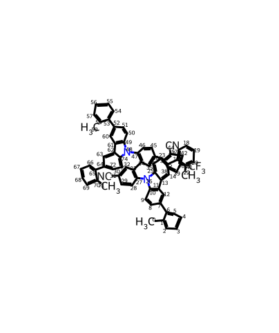 Cc1ccccc1-c1ccc2c(c1)c1cc(-c3ccccc3C)ccc1n2-c1ccc(C#N)cc1-c1cc(-c2ccc(C(F)(F)F)cc2C#N)ccc1-n1c2ccc(-c3ccccc3C)cc2c2cc(-c3ccccc3C)ccc21